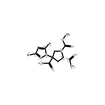 CC(C)(C)OC(=O)N1CC(C(N)=O)(n2nc(Br)cc2Br)C[C@H]1C(N)=O